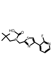 CC(C)(C)CN(Cc1nc(-c2cccnc2F)cs1)C(=O)O